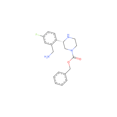 NCc1cc(F)ccc1[C@H]1CN(C(=O)OCc2ccccc2)CCN1